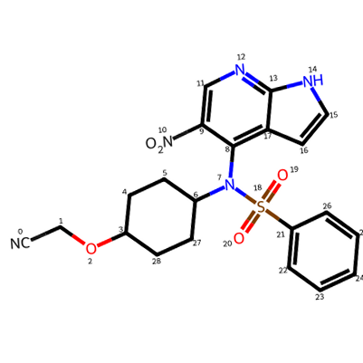 N#CCOC1CCC(N(c2c([N+](=O)[O-])cnc3[nH]ccc23)S(=O)(=O)c2ccccc2)CC1